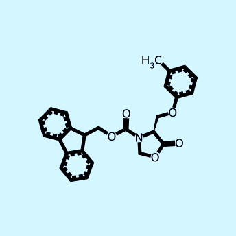 Cc1cccc(OC[C@H]2C(=O)OCN2C(=O)OCC2c3ccccc3-c3ccccc32)c1